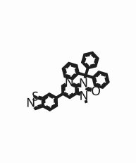 Cn1c(=O)n(C(c2ccccc2)(c2ccccc2)c2ccccc2)c2ncc(-c3ccc4cnsc4c3)cc21